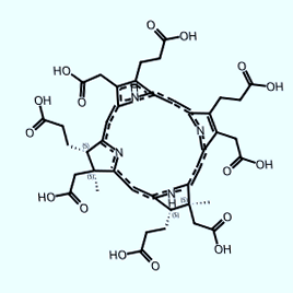 C[C@@]1(CC(=O)O)c2cc3[nH]c(cc4nc(cc5[nH]c(cc(n2)[C@H]1CCC(=O)O)c(CC(=O)O)c5CCC(=O)O)C(CCC(=O)O)=C4CC(=O)O)[C@@](C)(CC(=O)O)[C@@H]3CCC(=O)O